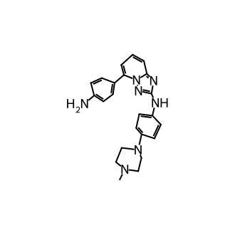 CN1CCN(c2ccc(Nc3nc4cccc(-c5ccc(N)cc5)n4n3)cc2)CC1